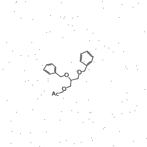 CC(=O)COCC(COCc1ccccc1)OCc1ccccc1